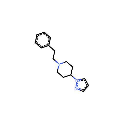 c1ccc(CCN2CCC(n3cccn3)CC2)cc1